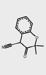 CC1(C)Oc2ccccc2C(C#N)C1=O